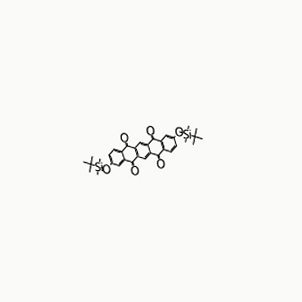 CC(C)(C)[Si](C)(C)Oc1ccc2c(=O)c3cc4c(=O)c5cc(O[Si](C)(C)C(C)(C)C)ccc5c(=O)c4cc3c(=O)c2c1